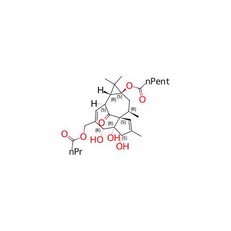 CCCCCC(=O)O[C@@]12C[C@@H](C)[C@]34C=C(C)[C@H](O)[C@@]3(O)[C@H](O)C(COC(=O)CCC)=C[C@H](C4=O)[C@@H]1C2(C)C